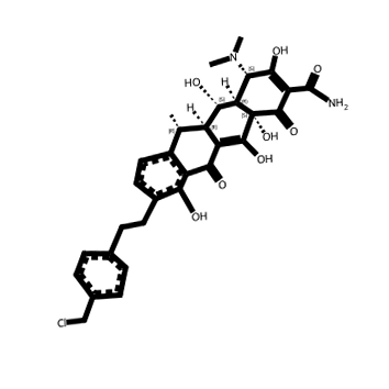 C[C@H]1c2ccc(CCc3ccc(CCl)cc3)c(O)c2C(=O)C2=C(O)[C@]3(O)C(=O)C(C(N)=O)=C(O)[C@@H](N(C)C)[C@@H]3[C@@H](O)[C@@H]21